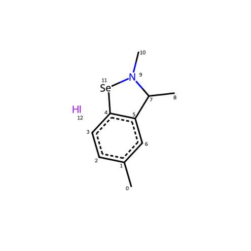 Cc1ccc2c(c1)C(C)N(C)[Se]2.I